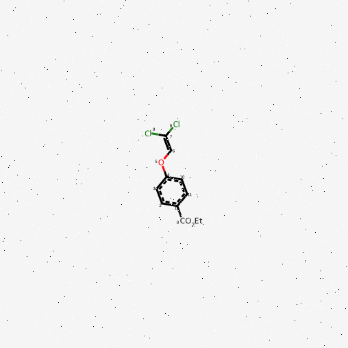 CCOC(=O)c1ccc(OC=C(Cl)Cl)cc1